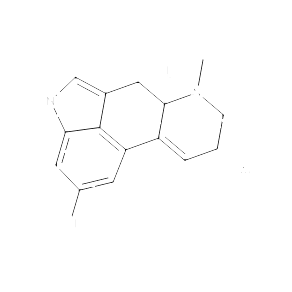 CC(=O)[C@@H]1C=C2c3cc(C(F)(F)F)cc4[nH]cc(c34)C[C@H]2N(C)C1